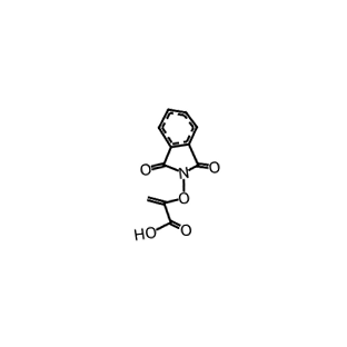 C=C(ON1C(=O)c2ccccc2C1=O)C(=O)O